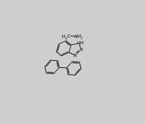 CN.c1ccc(-c2ccccc2)cc1.c1ccc2[nH]nnc2c1